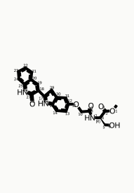 COC(=O)[C@@H](CO)NC(=O)COc1ccc2[nH]c(-c3cc4ccccc4[nH]c3=O)cc2c1